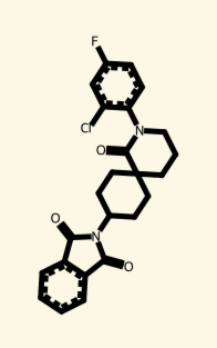 O=C1c2ccccc2C(=O)N1C1CCC2(CCCN(c3ccc(F)cc3Cl)C2=O)CC1